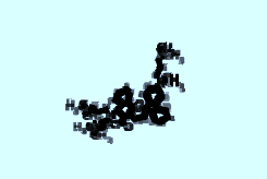 COC(=O)c1c2c(c3ccccc3c1N(CCCN(C)C)CCCN(C)C)OC(c1ccccc1)(c1ccc(N(C)CCCN(C)C)cc1)C=C2